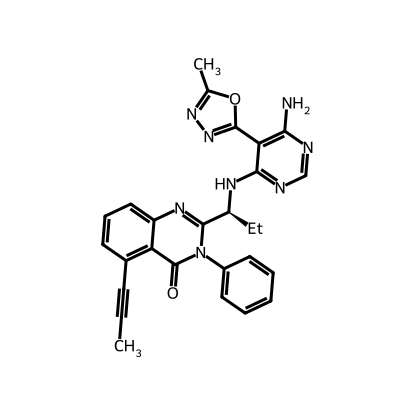 CC#Cc1cccc2nc([C@H](CC)Nc3ncnc(N)c3-c3nnc(C)o3)n(-c3ccccc3)c(=O)c12